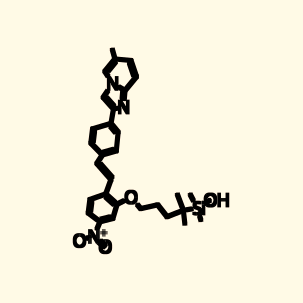 Cc1ccc2nc(-c3ccc(/C=C/c4ccc([N+](=O)[O-])cc4OCCCC(C)(C)[Si](C)(C)O)cc3)cn2c1